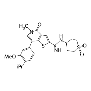 COc1cc(-c2cn(C)c(=O)c3cc(C(=N)NC4CCS(=O)(=O)CC4)sc23)ccc1C(C)C